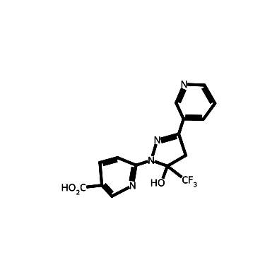 O=C(O)c1ccc(N2N=C(c3cccnc3)CC2(O)C(F)(F)F)nc1